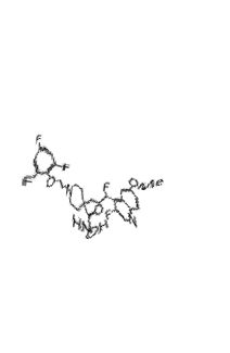 COc1ccc2ncc(F)c([C@H](F)CCC3(C(=O)NO)CCN(CCOc4c(F)cc(F)cc4F)CC3)c2c1